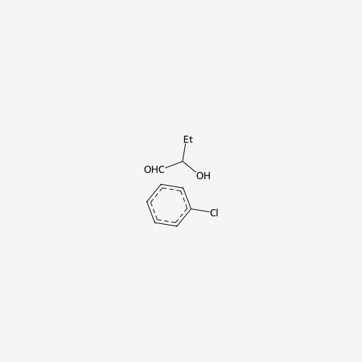 CCC(O)C=O.Clc1ccccc1